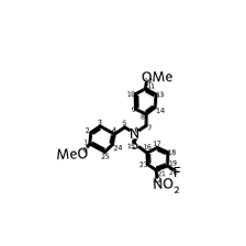 COc1ccc(CN(Cc2ccc(OC)cc2)Sc2ccc(F)c([N+](=O)[O-])c2)cc1